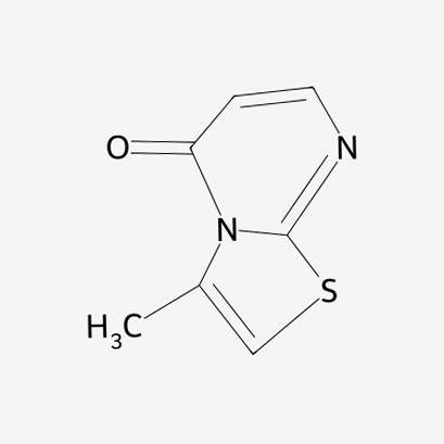 Cc1csc2nccc(=O)n12